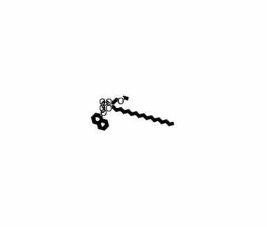 CCCCCCCCCCCCCCCCCOP(=O)(OCCOCC)OOc1cccc2ccccc12